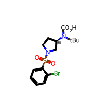 CC(C)(C)N(C(=O)O)[C@@H]1CCN(S(=O)(=O)c2ccccc2Br)C1